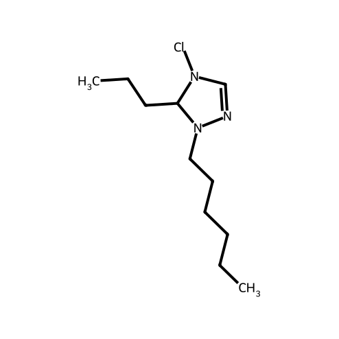 CCCCCCN1N=CN(Cl)C1CCC